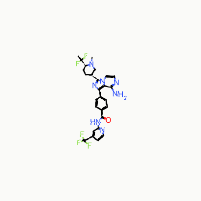 CN1C[C@@H](c2nc(-c3ccc(C(=O)Nc4cc(C(F)(F)F)ccn4)cc3)c3c(N)nccn23)CC[C@H]1C(C)(F)F